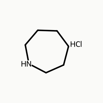 C1CCCNCC1.Cl